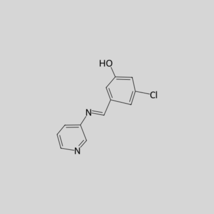 Oc1cc(Cl)cc(C=Nc2cccnc2)c1